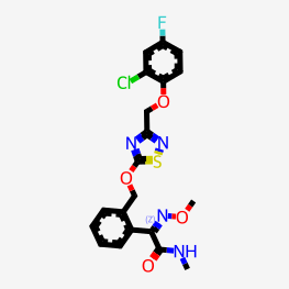 CNC(=O)/C(=N\OC)c1ccccc1COc1nc(COc2ccc(F)cc2Cl)ns1